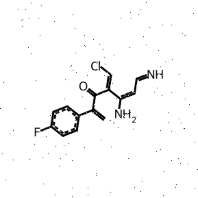 C=C(C(=O)C(=C\Cl)/C(N)=C\C=N)c1ccc(F)cc1